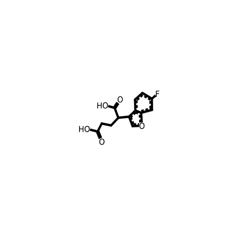 O=C(O)CCC(C(=O)O)c1coc2cc(F)ccc12